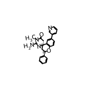 CN1C(=O)C[C@]2(C[C@H](c3ccccc3)Oc3ccc(-c4cccnc4)cc32)N=C1N